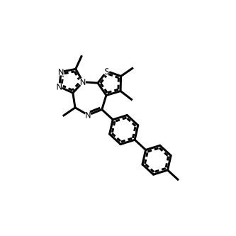 Cc1ccc(-c2ccc(C3=NC(C)c4nnc(C)n4-c4sc(C)c(C)c43)cc2)cc1